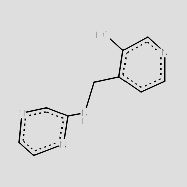 Cc1cnccc1CNc1cnccn1